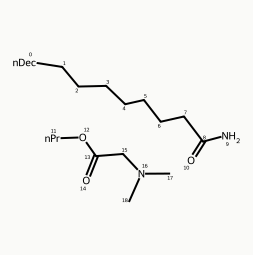 CCCCCCCCCCCCCCCCCC(N)=O.CCCOC(=O)CN(C)C